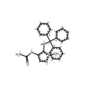 Cn1ncc(OC(N)=O)c1NC(c1ccccc1)(c1ccccc1)c1ccccc1